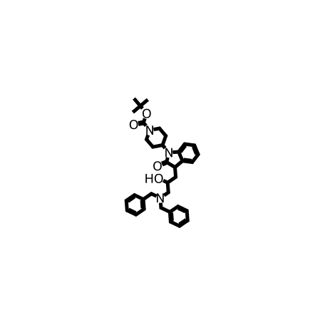 CC(C)(C)OC(=O)N1CCC(N2C(=O)C(CC(O)CN(Cc3ccccc3)Cc3ccccc3)c3ccccc32)CC1